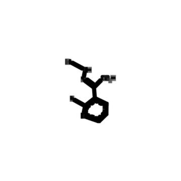 CCNN=C(C(=O)O)c1cccnc1F